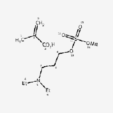 C=C(C)C(=O)O.CCN(CC)CCCOS(=O)(=O)OC